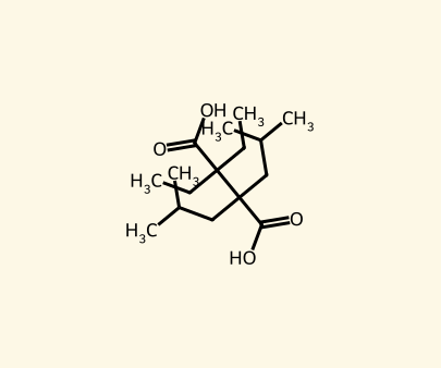 CCC(CC)(C(=O)O)C(CC(C)C)(CC(C)C)C(=O)O